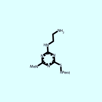 CCCCCSc1nc(NC)nc(NCCN)n1